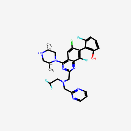 C[C@@H]1CN(c2nc(CN(Cc3ncccn3)CC(F)F)nc3c(F)c(-c4c(O)cccc4F)c(Cl)cc23)[C@@H](C)CN1